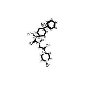 CCCN1C(=O)N(CC(=O)N2CC[S+]([O-])CC2)C[C@]12CC[C@@](NC)(c1ccccc1)CC2